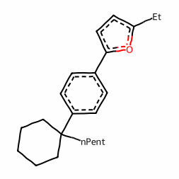 CCCCCC1(c2ccc(-c3ccc(CC)o3)cc2)CCCCC1